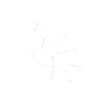 CCOP(=O)(OCC)C(CCCN)[PH](O)(OCC)OCC